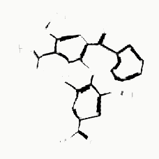 COc1cc(C(=O)c2ccccc2)c(Oc2c(C)cc(C(=O)O)cc2C)cc1C(C)C